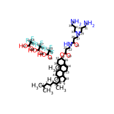 CC(C)CCC[C@@H](C)[C@H]1CCC2C3CC=C4CC(OC(=O)CCNC(=O)CCN(CCCN)CCCN)CC[C@]4(C)C3CC[C@@]21C.O=C(O)C(F)(F)F.O=C(O)C(F)(F)F.O=C(O)C(F)(F)F